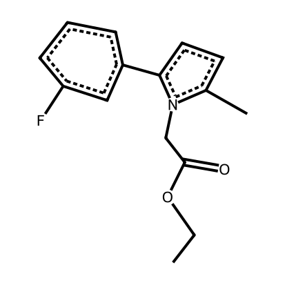 CCOC(=O)Cn1c(C)ccc1-c1cccc(F)c1